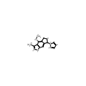 COc1c2c(cc3onc(N)c13)C(n1cccn1)CC2